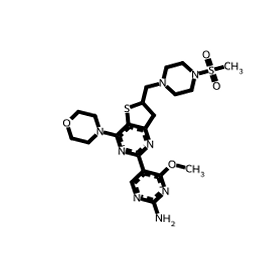 COc1nc(N)ncc1-c1nc2c(c(N3CCOCC3)n1)SC(CN1CCN(S(C)(=O)=O)CC1)C2